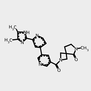 Cc1nc(-c2cc(-c3cncc(C(=O)N4CC5(CCN(C)C5=O)C4)c3)ccn2)[nH]c1C